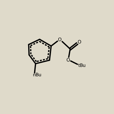 CCCCc1cccc(OC(=O)OC(C)(C)C)c1